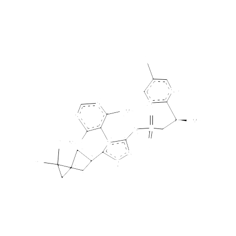 COc1ncnc(OC)c1-n1c(NS(=O)(=O)[C@@H](C)[C@H](OC)c2ncc(Cl)cn2)nnc1C1CC2(C1)CC2(F)F